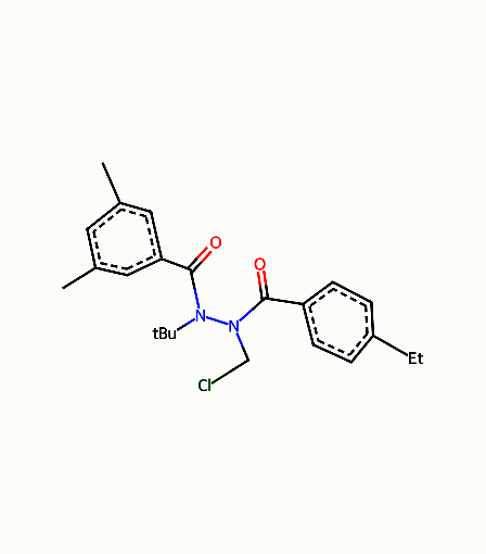 CCc1ccc(C(=O)N(CCl)N(C(=O)c2cc(C)cc(C)c2)C(C)(C)C)cc1